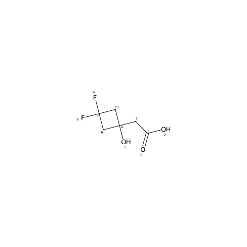 O=C(O)CC1(O)CC(F)(F)C1